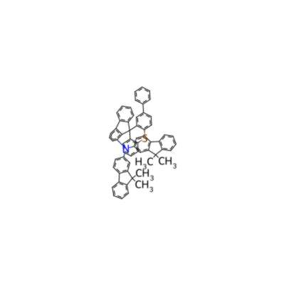 CC1(C)c2ccccc2-c2ccc(N(c3ccc4c(c3)C(C)(C)c3ccccc3-4)c3cccc4c3C3(c5ccccc5Sc5ccc(-c6ccccc6)cc53)c3ccccc3-4)cc21